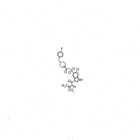 CN(C)C(=O)C(=O)c1c[nH]c2cc(Cl)c(S(=O)(=O)CC(=O)N3CCC(Cc4ccc(F)cc4)CC3)cc12